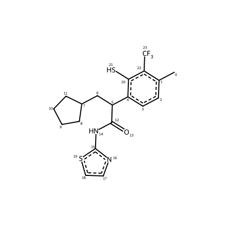 Cc1ccc(C(CC2CCCC2)C(=O)Nc2nccs2)c(S)c1C(F)(F)F